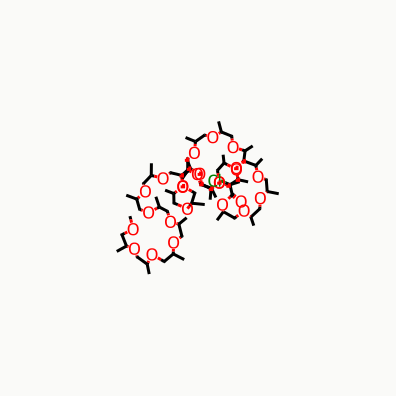 COCC(C)OCC(C)OCC(C)OCC(C)OCC(C)OCC(C)OCC(C)OCC(C)OCC(C)OCC(C)OCC(C)OCC(C)OCC(C)OCC(C)OCC(C)OCC(C)OCC(C)OCC(C)OCC(C)OCC(C)OCC(C)OCC(C)OCC(C)OC(=O)C(C)Cl